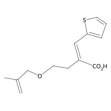 C=C(C)COCC/C(=C/c1cccs1)C(=O)O